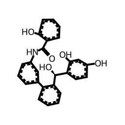 O=C(Nc1cccc(-c2ccccc2[C@@H](O)c2ccc(O)cc2O)c1)c1ccccc1O